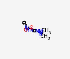 Cc1cc(C)nc(CNc2ccc(NC(=O)C3CC(=O)N(CCc4ccccc4)C3)cc2)n1